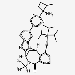 [2H]C([2H])([2H])N1C(=O)c2cccc(C#C[Si](C(C)C)(C(C)C)C(C)C)c2[C@H]2C[C@@H]1c1nc3ccc(-c4cnc(C5(N)CCC5C)nc4)cc3n12